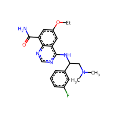 CCOc1cc(C(N)=O)c2ncnc(NC(CN(C)C)c3cccc(F)c3)c2c1